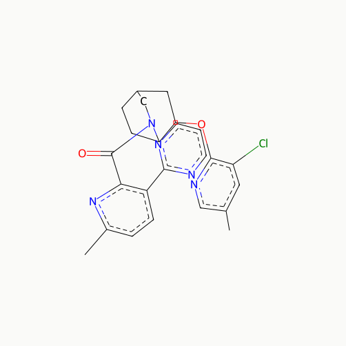 Cc1cnc(OC2CC3CCC2N(C(=O)c2nc(C)ccc2-c2ncccn2)C3)c(Cl)c1